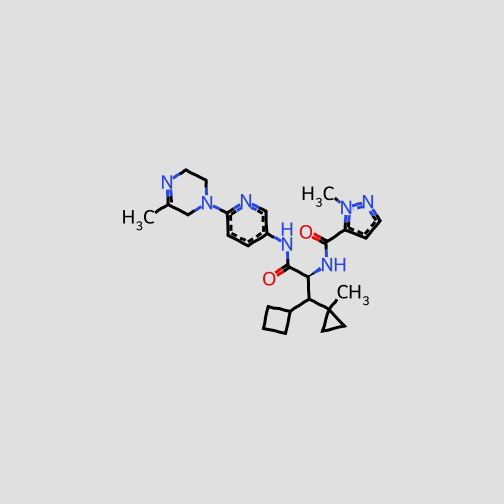 CC1=NCCN(c2ccc(NC(=O)[C@@H](NC(=O)c3ccnn3C)C(C3CCC3)C3(C)CC3)cn2)C1